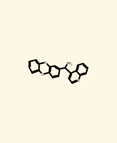 NC(c1ccc2c(c1)Oc1ccccc1O2)c1ccnc2ccccc12